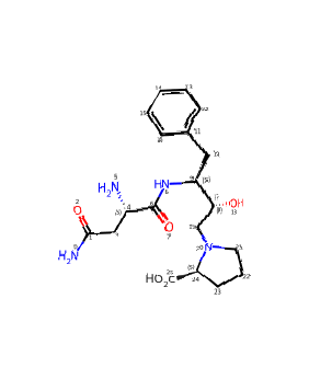 NC(=O)C[C@H](N)C(=O)N[C@@H](Cc1ccccc1)[C@H](O)CN1CCC[C@H]1C(=O)O